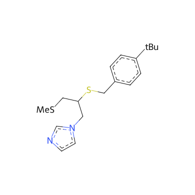 CSCC(Cn1ccnc1)SCc1ccc(C(C)(C)C)cc1